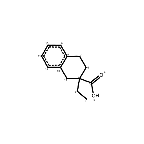 CCC1(C(=O)O)CCc2ccccc2C1